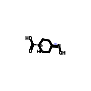 O=C(O)[C@@H]1CC/C(=N/O)CN1